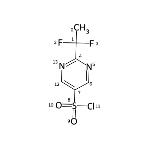 CC(F)(F)c1ncc(S(=O)(=O)Cl)cn1